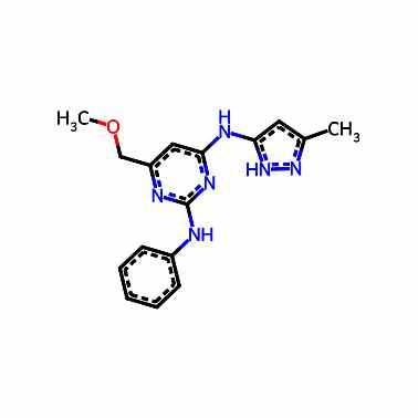 COCc1cc(Nc2cc(C)n[nH]2)nc(Nc2ccccc2)n1